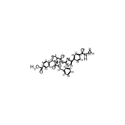 CC(=O)c1ccc(C2SCC(C(=O)Nc3nc(-c4ccc(C(=O)NC5CC5)cc4)cs3)N2C(=O)OCc2ccccc2)cc1